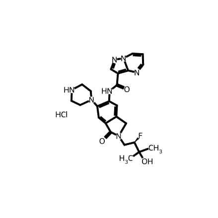 CC(C)(O)[C@H](F)CN1Cc2cc(NC(=O)c3cnn4cccnc34)c(N3CCNCC3)cc2C1=O.Cl